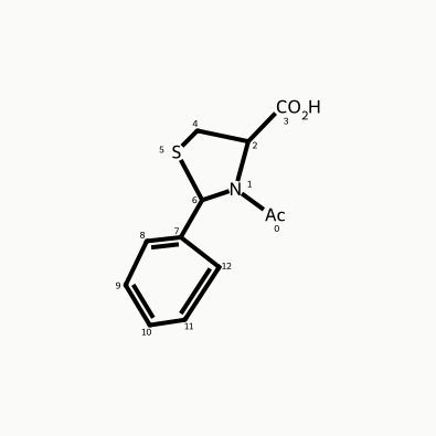 CC(=O)N1C(C(=O)O)CSC1c1ccccc1